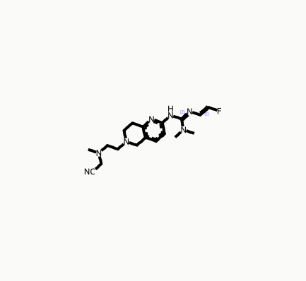 CN(CC#N)CCN1CCc2nc(N/C(=N/C=C/F)N(C)C)ccc2C1